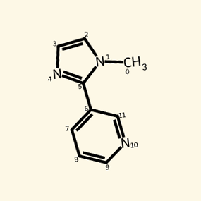 Cn1ccnc1-c1cccnc1